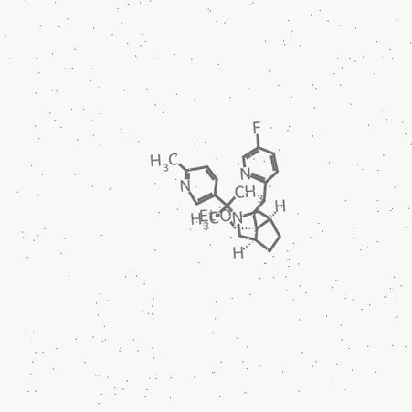 CCOC[C@]1(CCc2ccc(F)cn2)[C@@H]2CC[C@H]1CN(C(C)(C)c1ccc(C)nc1)C2